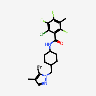 Cc1cnn(CC2CCC(NC(=O)c3c(F)c(C)c(F)c(F)c3Cl)CC2)c1C(C)C